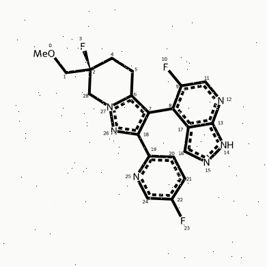 COC[C@]1(F)CCc2c(-c3c(F)cnc4[nH]ncc34)c(-c3ccc(F)cn3)nn2C1